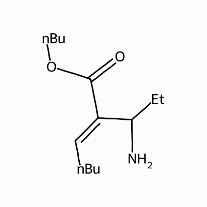 CCCCC=C(C(=O)OCCCC)C(N)CC